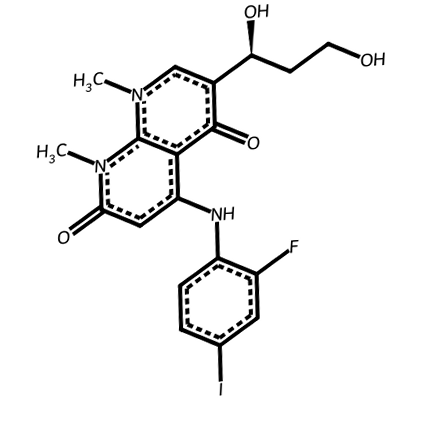 Cn1cc([C@@H](O)CCO)c(=O)c2c(Nc3ccc(I)cc3F)cc(=O)n(C)c21